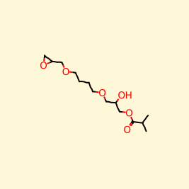 CC(C)C(=O)OCC(O)COCCCCOCC1CO1